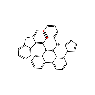 C1=CC(c2cccc3c2B(Nc2ccccc2)N(c2cccc4oc5ccccc5c24)c2ccccc2-3)C=C1